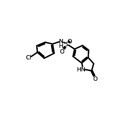 O=C1Cc2ccc(S(=O)(=O)Nc3ccc(Cl)cc3)cc2N1